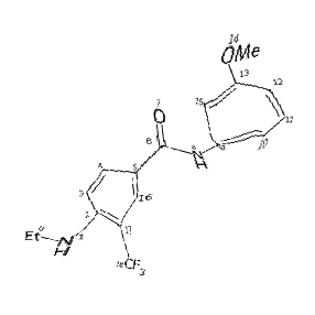 CCNc1ccc(C(=O)Nc2cccc(OC)c2)cc1C(F)(F)F